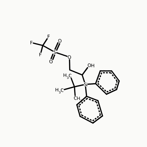 CC(C)(C)[Si](c1ccccc1)(c1ccccc1)C(O)COS(=O)(=O)C(F)(F)F